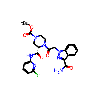 CC(C)(C)OC(=O)N1CCN(C(=O)Cn2nc(C(N)=O)c3ccccc32)[C@H](C(=O)Nc2cccc(Cl)n2)C1